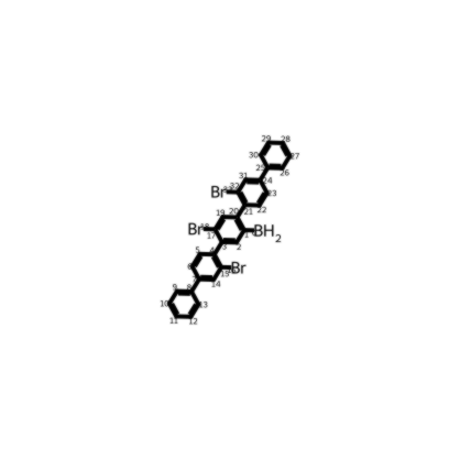 Bc1cc(-c2ccc(-c3ccccc3)cc2Br)c(Br)cc1-c1ccc(-c2ccccc2)cc1Br